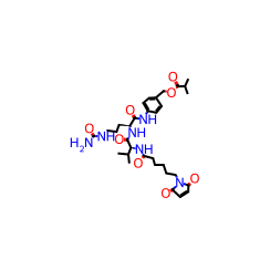 CC(C)C(=O)OCc1ccc(NC(=O)[C@H](CCCNC(N)=O)NC(=O)[C@@H](NC(=O)CCCCCN2C(=O)C=CC2=O)C(C)C)cc1